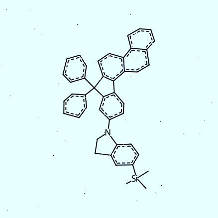 C[Si](C)(C)c1ccc2c(c1)CCN2c1ccc2c(c1)C(c1ccccc1)(c1ccccc1)c1ccc3c(ccc4ccccc43)c1-2